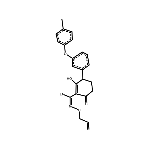 C=CCO/N=C(/CC)C1=C(O)C(c2cccc(Oc3ccc(C)cc3)c2)CCC1=O